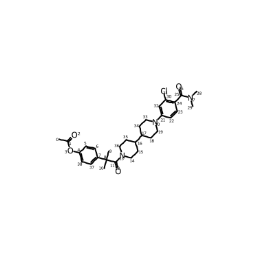 CC(=O)Oc1ccc(C(C)(C)C(=O)N2CCC(C3CCN(c4ccc(C(=O)N(C)C)c(Cl)c4)CC3)CC2)cc1